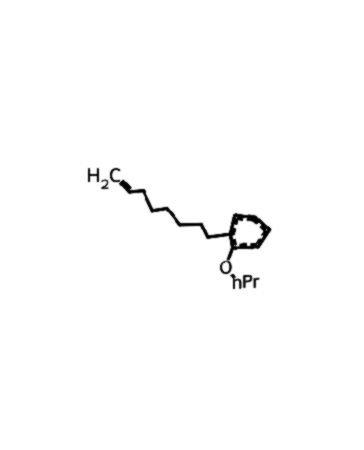 C=CCCCCCCc1ccccc1OCCC